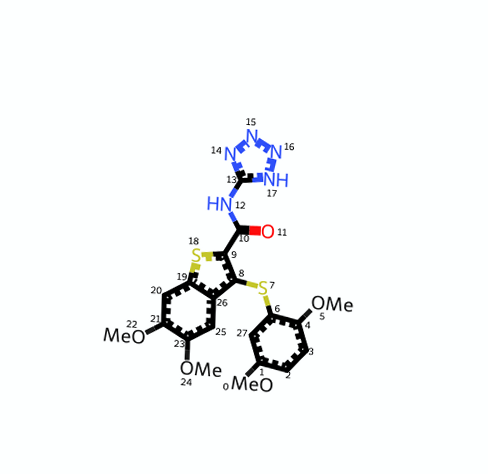 COc1ccc(OC)c(Sc2c(C(=O)Nc3nnn[nH]3)sc3cc(OC)c(OC)cc23)c1